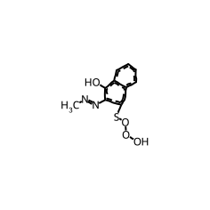 CN=Nc1c(SOOO)cc2ccccc2c1O